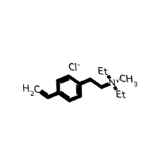 C=Cc1ccc(CC[N+](C)(CC)CC)cc1.[Cl-]